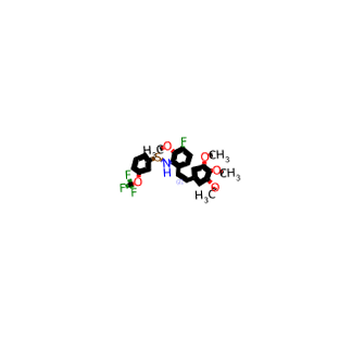 COc1cc(/C=C\c2ccc(F)c(OC)c2NSc2cccc(OC(F)(F)F)c2)cc(OC)c1OC